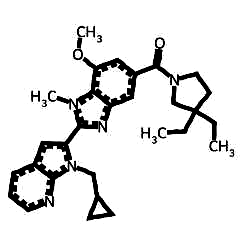 CCC1(CC)CCN(C(=O)c2cc(OC)c3c(c2)nc(-c2cc4cccnc4n2CC2CC2)n3C)C1